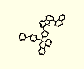 c1ccc(-c2ccc(N(c3cccc(-c4cccc5c4oc4c(-c6cccc7ccccc67)cccc45)c3)c3cc4ccccc4c4ccccc34)cc2)cc1